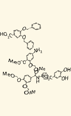 COCOc1ccc(C(=O)Nc2ccccc2)cc1OCOC.COCOc1ccc(N)cc1OCOC.O=C(O)c1ccc(O)c(O)c1.O=C(O)c1ccc(OCc2ccccc2)c(OCc2ccccc2)c1